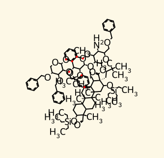 CC[Si](CC)(CC)OC1CCC2(C)C(CCC3(C)C2CC=C2C(I)[C@@](CCC(C)(C)C)(C(=O)O[C@@H]4OC(COCc5ccccc5)[C@H](N)C(OCc5ccccc5)C4O[C@@H]4OC(C)[C@H](O[C@@H]5OC[C@@H](OCc6ccccc6)C(OCc6ccccc6)C5OCc5ccccc5)C5OC(C)(C)OC54)C(O[Si](CC)(CC)CC)CC23C)C1(C)C=O